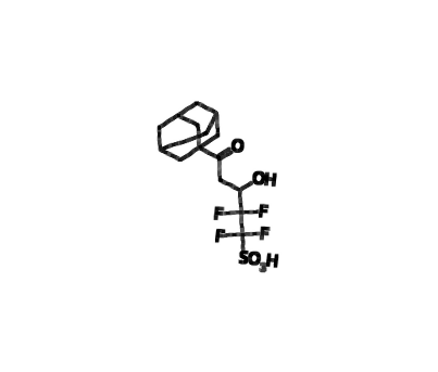 O=C(CC(O)C(F)(F)C(F)(F)S(=O)(=O)O)C12CC3CC(CC(C3)C1)C2